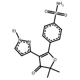 CCn1ccc(C2=C(c3ccc(S(N)(=O)=O)cc3)OC(C)(C)C2=O)n1